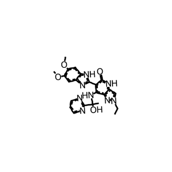 CCn1cc2[nH]c(=O)c(-c3nc4cc(OC)c(OC)cc4[nH]3)c(NC(C)(O)c3ncccn3)c2n1